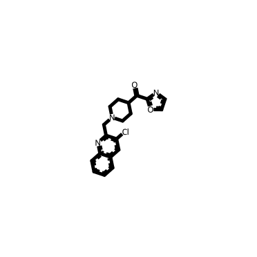 O=C(c1ncco1)C1CCN(Cc2nc3ccccc3cc2Cl)CC1